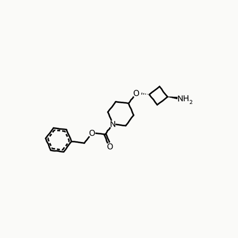 N[C@H]1C[C@H](OC2CCN(C(=O)OCc3ccccc3)CC2)C1